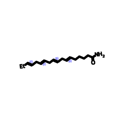 CC/C=C/C/C=C/C/C=C/C/C=C/CCCCC(N)=O